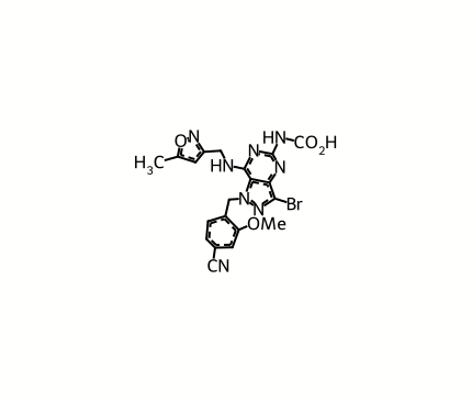 COc1cc(C#N)ccc1Cn1nc(Br)c2nc(NC(=O)O)nc(NCc3cc(C)on3)c21